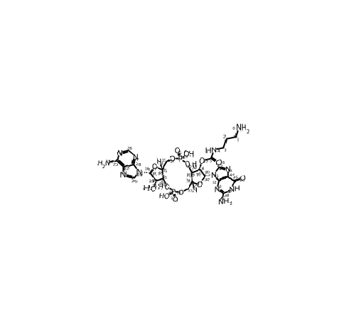 NCCCNC(=O)O[C@@H]1[C@@H]2OP(=O)(O)OC[C@H]3O[C@@H](n4cnc5c(N)ncnc54)[C@H](O)[C@@H]3OP(=O)(O)OC[C@H]2O[C@H]1n1cnc2c(=O)[nH]c(N)nc21